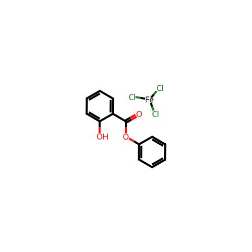 O=C(Oc1ccccc1)c1ccccc1O.[Cl][Fe]([Cl])[Cl]